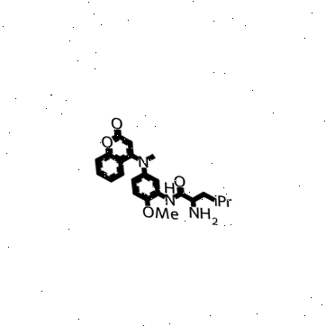 COc1ccc(N(C)c2cc(=O)oc3ccccc23)cc1NC(=O)C(N)CC(C)C